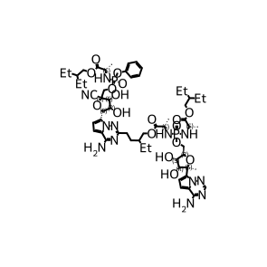 CCC(CC)COC(=O)[C@H](C)NP(=O)(N[C@@H](C)C(=O)OCC(CC)CCc1nc(N)c2ccc([C@@H]3O[C@](C#N)(COP(=O)(N[C@@H](C)C(=O)OCC(CC)CC)Oc4ccccc4)[C@@H](O)[C@H]3O)n2n1)OC[C@H]1O[C@@](C)(c2ccc3c(N)ncnn23)[C@H](O)[C@@H]1O